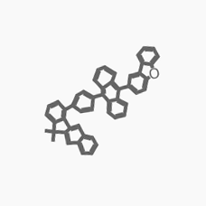 CC1(C)c2cc3ccccc3cc2-c2c(-c3ccc(-c4c5ccccc5c(-c5ccc6oc7ccccc7c6c5)c5ccccc45)cc3)cccc21